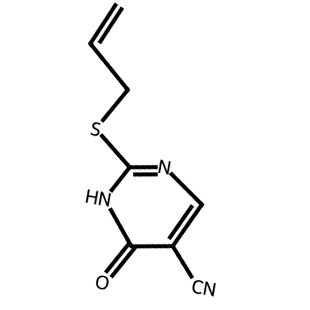 C=CCSc1ncc(C#N)c(=O)[nH]1